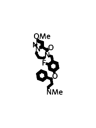 CNCCC(Oc1ccc(CN2CCCn3nc(OC)cc3C2=O)c(F)c1)c1ccccc1